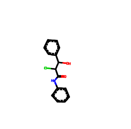 O=C(Nc1ccccc1)C(Cl)C(O)c1ccccc1